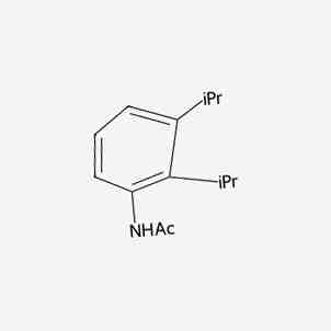 CC(=O)Nc1cccc(C(C)C)c1C(C)C